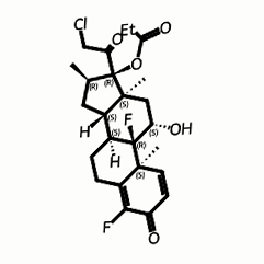 CCC(=O)O[C@]1(C(=O)CCl)[C@H](C)C[C@H]2[C@@H]3CCC4=C(F)C(=O)C=C[C@]4(C)[C@@]3(F)[C@@H](O)C[C@@]21C